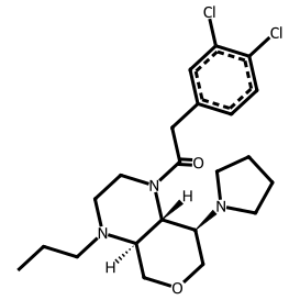 CCCN1CCN(C(=O)Cc2ccc(Cl)c(Cl)c2)[C@H]2[C@H]1COC[C@@H]2N1CCCC1